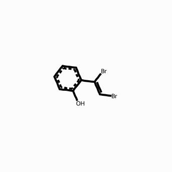 Oc1ccccc1C(Br)=CBr